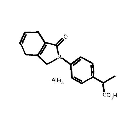 CC(C(=O)O)c1ccc(N2CC3=C(CC=CC3)C2=O)cc1.[AlH3]